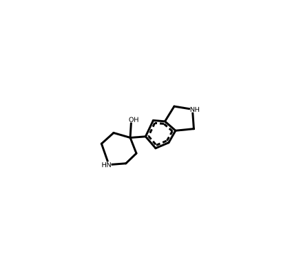 OC1(c2ccc3c(c2)CNC3)CCNCC1